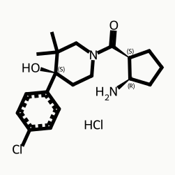 CC1(C)CN(C(=O)[C@H]2CCC[C@H]2N)CC[C@]1(O)c1ccc(Cl)cc1.Cl